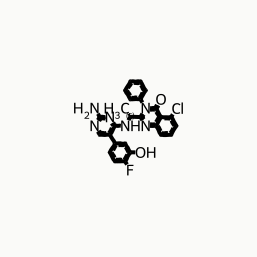 C[C@H](Nc1nc(N)ncc1-c1ccc(F)c(O)c1)c1nc2cccc(Cl)c2c(=O)n1-c1ccccc1